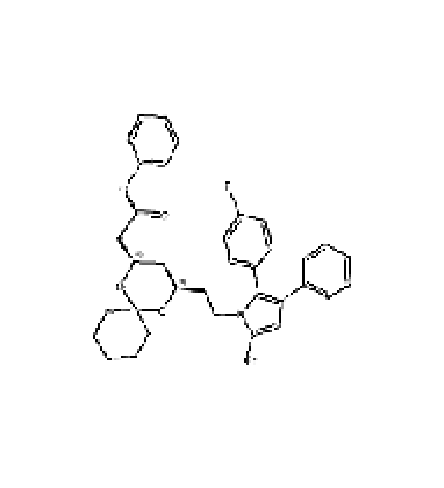 CC(C)c1cc(-c2ccccc2)c(-c2ccc(F)cc2)n1CC[C@@H]1C[C@H](CC(=O)Oc2ccccc2)OC2(CCCCC2)O1